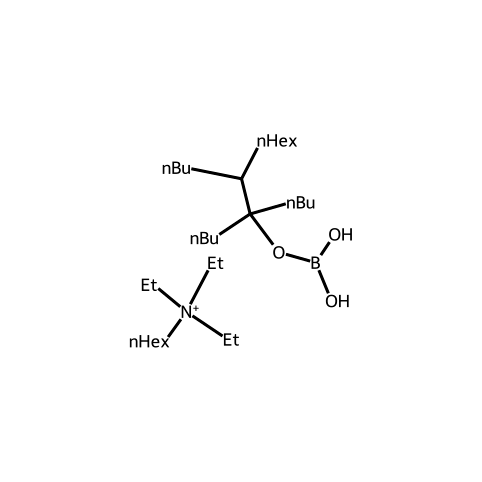 CCCCCCC(CCCC)C(CCCC)(CCCC)OB(O)O.CCCCCC[N+](CC)(CC)CC